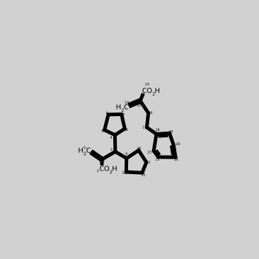 C=C(C(=O)O)C(C1CCCC1)C1CCCC1.C=C(CCc1ccccc1)C(=O)O